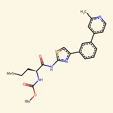 CSCC[C@H](NC(=O)OC(C)(C)C)C(=O)Nc1nc(-c2cccc(-c3ccnc(C)c3)c2)cs1